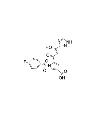 O=C(O)c1cc(C(=O)C=C(O)c2nc[nH]n2)n(S(=O)(=O)c2ccc(F)cc2)c1